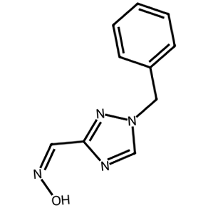 O/N=C\c1ncn(Cc2ccccc2)n1